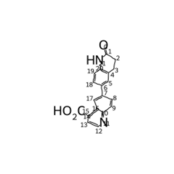 O=C1CCc2cc(-c3ccc4nccc(C(=O)O)c4c3)ccc2N1